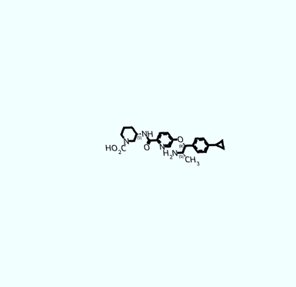 C[C@H](N)[C@H](Oc1ccc(C(=O)N[C@H]2CCCN(C(=O)O)C2)nc1)c1ccc(C2CC2)cc1